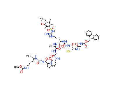 Cc1c(C)c(S(=O)(=O)NC(=N)NCCCC(NC(=O)CNC(=O)C(CS)NC(=O)CNC(=O)OCC2c3ccccc3-c3ccccc32)C(=O)NC(C(=O)NCC(=O)NC(CC(C)C)C(=O)N2CCCC2C(=O)NCC(=O)NC(C=O)CCCCNC(=O)OC(C)(C)C)C(C)C)c(C)c2c1CC(C)(C)CO2